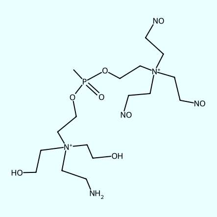 CP(=O)(OCC[N+](CCN)(CCO)CCO)OCC[N+](CCN=O)(CCN=O)CCN=O